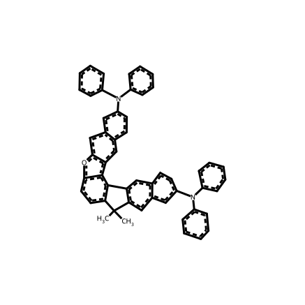 CC1(C)c2cc3cc(N(c4ccccc4)c4ccccc4)ccc3cc2-c2c1ccc1oc3cc4cc(N(c5ccccc5)c5ccccc5)ccc4cc3c21